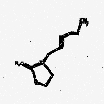 C=C1OCCN1CC=CCC